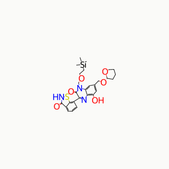 C[Si](C)(C)CCOCn1c(=O)c(-c2cccc3c(=O)[nH]sc23)nc2c(O)cc(COC3CCCCO3)cc21